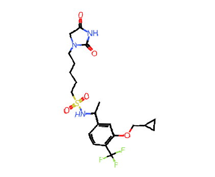 CC(NS(=O)(=O)CCCCCN1CC(=O)NC1=O)c1ccc(C(F)(F)F)c(OCC2CC2)c1